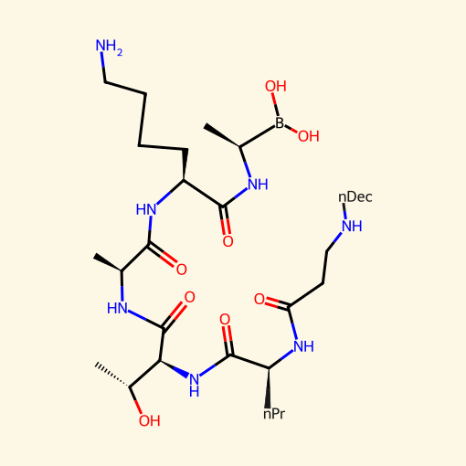 CCCCCCCCCCNCCC(=O)N[C@@H](CCC)C(=O)N[C@H](C(=O)N[C@@H](C)C(=O)N[C@@H](CCCCN)C(=O)N[C@@H](C)B(O)O)[C@@H](C)O